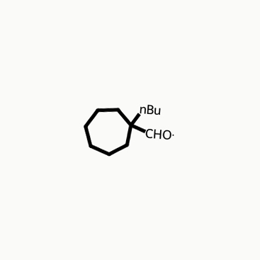 CCCCC1([C]=O)CCCCCC1